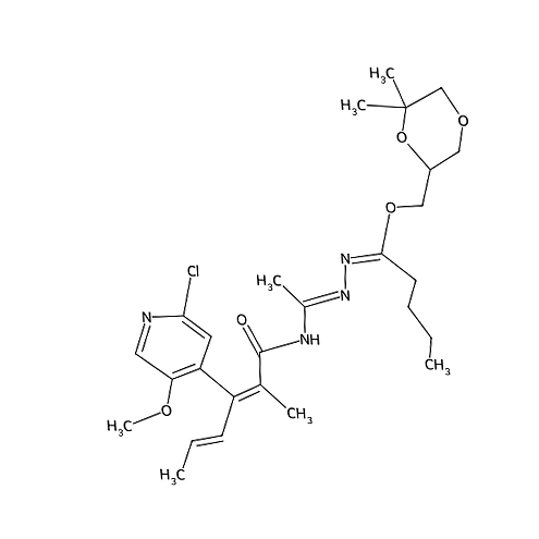 C/C=C/C(=C(\C)C(=O)N/C(C)=N/N=C(\CCCC)OCC1COCC(C)(C)O1)c1cc(Cl)ncc1OC